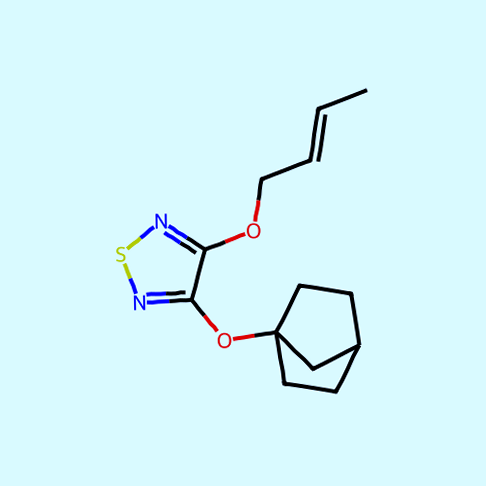 CC=CCOc1nsnc1OC12CCC(CC1)C2